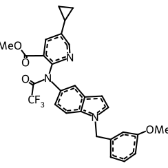 COC(=O)c1cc(C2CC2)cnc1N(C(=O)C(F)(F)F)c1ccc2c(ccn2Cc2cccc(OC)c2)c1